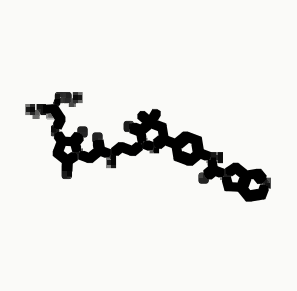 CC1(C)CC(c2ccc(NC(=O)N3Cc4ccncc4C3)cc2)=NN(CCNC(=O)CN2C(=O)CC(SC[C@H](N)C(=O)O)C2=O)C1=O